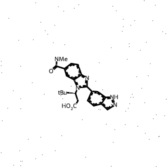 CNC(=O)c1ccc2nc(-c3ccc4cn[nH]c4c3)n([C@@H](CC(=O)O)C(C)(C)C)c2c1